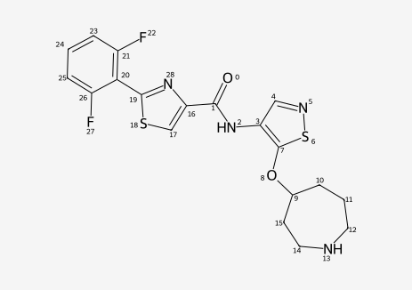 O=C(Nc1cnsc1OC1CCCNCC1)c1csc(-c2c(F)cccc2F)n1